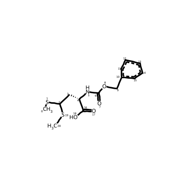 CSC(C[C@H](NC(=O)OCc1ccccc1)C(=O)O)SC